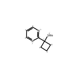 CSC1(c2ncccn2)CCC1